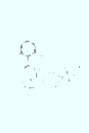 CCS(=O)(=O)N1CCC(CNC(=O)c2c(F)cccc2F)(CC(C)(C)C)CC1